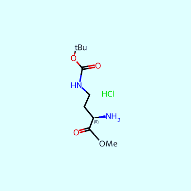 COC(=O)[C@H](N)CCNC(=O)OC(C)(C)C.Cl